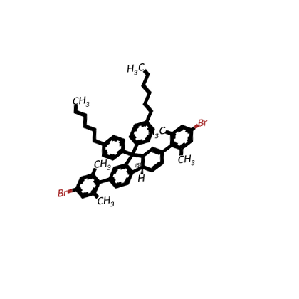 CCCCCCc1ccc(C2(c3ccc(CCCCCC)cc3)c3cc(-c4c(C)cc(Br)cc4C)ccc3[C@H]3C=CC(c4c(C)cc(Br)cc4C)=CC32)cc1